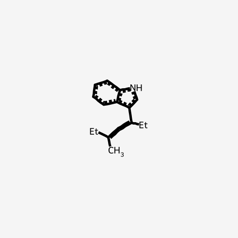 CCC(C)=C=C(CC)c1c[nH]c2ccccc12